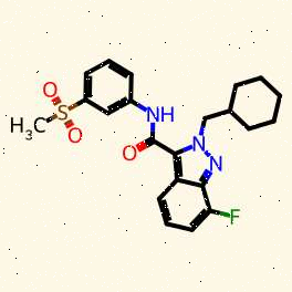 CS(=O)(=O)c1cccc(NC(=O)c2c3cccc(F)c3nn2CC2CCCCC2)c1